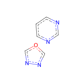 c1cncnc1.c1nnco1